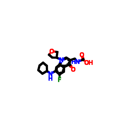 O=C(O)NCc1cn(C2CCOC2)c2cc(NC3CCCCC3)c(F)cc2c1=O